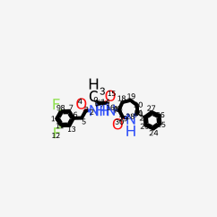 C[C@H](NC(=O)Cc1cc(F)cc(F)c1)C(=O)N[C@H]1CCC[C@H](c2ccccc2)NC1=O